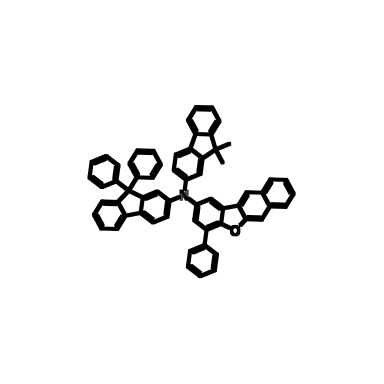 CC1(C)c2ccccc2-c2ccc(N(c3ccc4c(c3)C(c3ccccc3)(c3ccccc3)c3ccccc3-4)c3cc(-c4ccccc4)c4oc5cc6ccccc6cc5c4c3)cc21